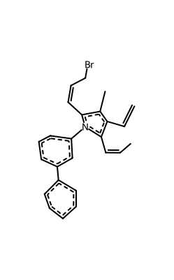 C=Cc1c(C)c(/C=C\CBr)n(-c2cccc(-c3ccccc3)c2)c1/C=C\C